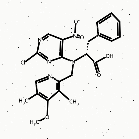 COc1c(C)cnc(CN(c2nc(Cl)ncc2[N+](=O)[O-])[C@H](Cc2ccccc2)C(=O)O)c1C